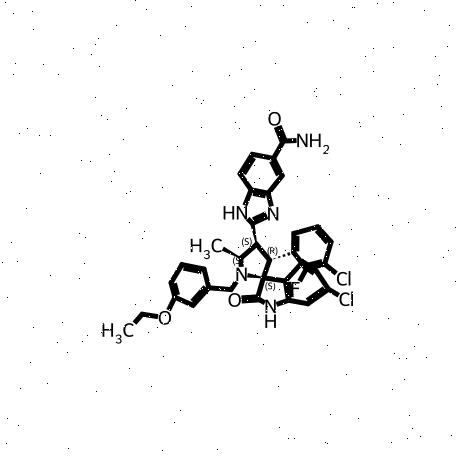 CCOc1cccc(CN2[C@@H](C)[C@@H](c3nc4cc(C(N)=O)ccc4[nH]3)[C@H](c3cccc(Cl)c3F)[C@]23C(=O)Nc2cc(Cl)ccc23)c1